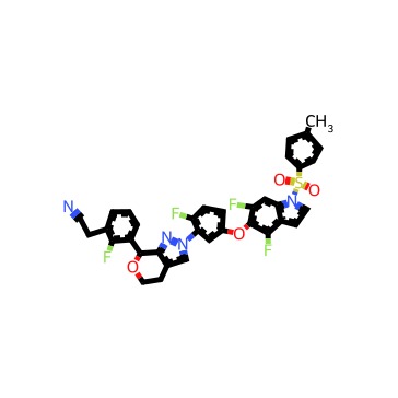 Cc1ccc(S(=O)(=O)n2ccc3c(F)c(Oc4ccc(F)c(-n5cc6c(n5)C(c5cccc(CC#N)c5F)OCC6)c4)c(F)cc32)cc1